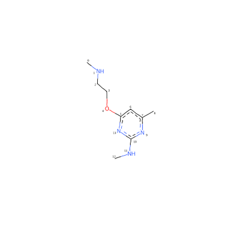 CNCCOc1cc(C)nc(NC)n1